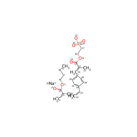 C=C(C)C(=O)OCCCC.C=C(C)C(=O)OCCS(=O)(=O)[O-].C=Cc1ccccc1.[Na+]